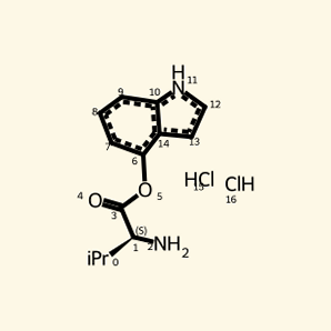 CC(C)[C@H](N)C(=O)Oc1cccc2[nH]ccc12.Cl.Cl